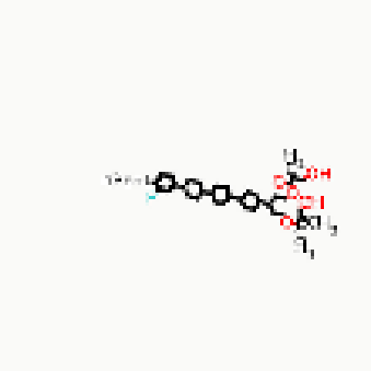 C=C(CO)C(=C)OCCC(CCOC(=O)C(=C)CO)C1CCC(C2CCC(C3CCC(c4ccc(CCCCC)c(F)c4)CC3)CC2)CC1